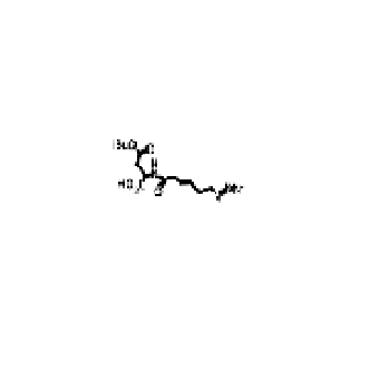 CC(C)COC(=O)CC(NC(=O)CCCCCN=[N+]=[N-])C(=O)O